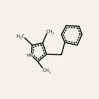 Cc1[nH]c(C)c(Cc2ccccc2)c1C